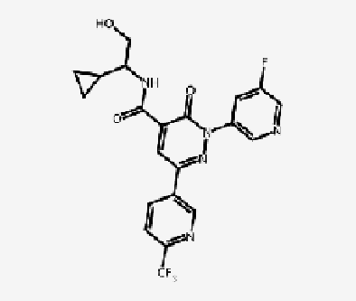 O=C(NC(CO)C1CC1)c1cc(-c2ccc(C(F)(F)F)nc2)nn(-c2cncc(F)c2)c1=O